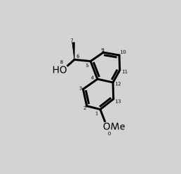 COc1ccc2c([C@H](C)O)cccc2c1